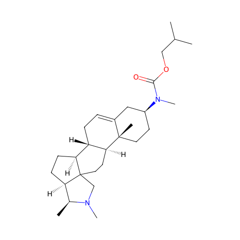 CC(C)COC(=O)N(C)[C@H]1CC[C@@]2(C)C(=CC[C@H]3[C@@H]4CC[C@@H]5[C@H](C)N(C)CC54CC[C@@H]32)C1